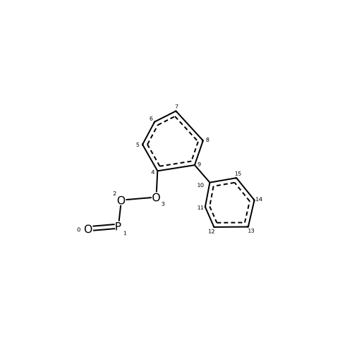 O=POOc1ccccc1-c1ccccc1